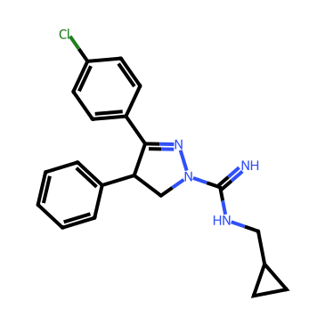 N=C(NCC1CC1)N1CC(c2ccccc2)C(c2ccc(Cl)cc2)=N1